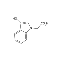 O=C(O)Cn1cc(O)c2ccccc21